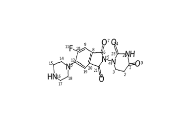 O=C1CCN(N2C(=O)c3cc(F)c(N4CCNCC4)cc3C2=O)C(=O)N1